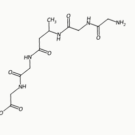 CC(CC(=O)NCC(=O)NCC(=O)O)NC(=O)CNC(=O)CN